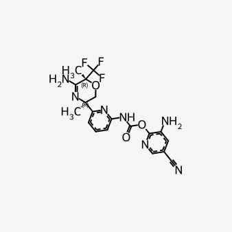 C[C@@]1(c2cccc(NC(=O)Oc3ncc(C#N)cc3N)n2)CO[C@@](C)(C(F)(F)F)C(N)=N1